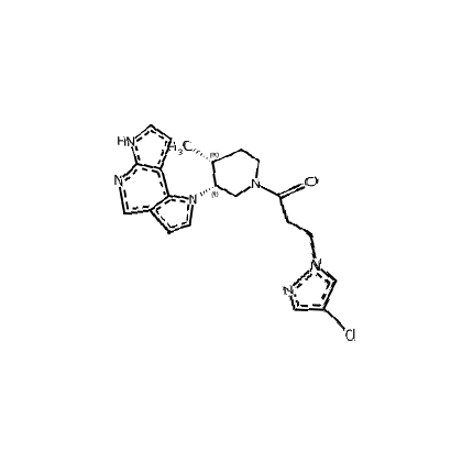 C[C@@H]1CCN(C(=O)CCn2cc(Cl)cn2)C[C@@H]1n1ccc2cnc3[nH]ccc3c21